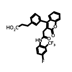 O=C(O)CCc1cccc(-c2c(CC(=O)Nc3ccc(F)cc3C(F)(F)F)c(=O)oc3ccccc23)c1